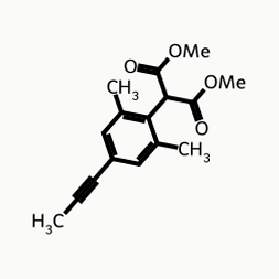 CC#Cc1cc(C)c(C(C(=O)OC)C(=O)OC)c(C)c1